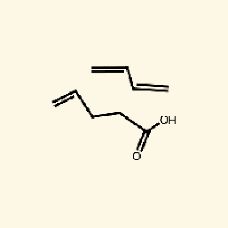 C=CC=C.C=CCCC(=O)O